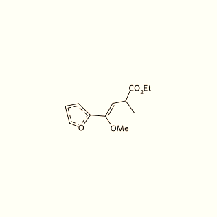 CCOC(=O)C(C)C=C(OC)c1ccco1